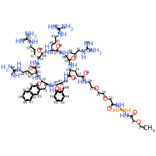 CCOCC(=O)NPPNC(=O)COCCOCCNC(=O)CC[C@@H]1NC(=O)[C@@H](CCCNC(=N)N)NC(=O)[C@H](CCCNC(=N)N)NC(=O)[C@@H](CCCNC(=N)N)NC(=O)[C@H](CCCNC(=N)N)NC(=O)[C@H](Cc2ccc3ccccc3c2)NC(O)[C@@H](Cc2ccccc2)NC1=O